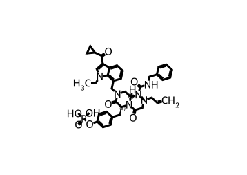 C=CCN1CC(=O)N2[C@@H](Cc3ccc(OP(=O)(O)O)cc3)C(=O)N(Cc3cccc4c(C(=O)C5CC5)cn(CC)c34)C[C@@H]2N1C(=O)NCc1ccccc1